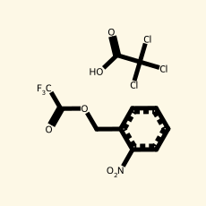 O=C(O)C(Cl)(Cl)Cl.O=C(OCc1ccccc1[N+](=O)[O-])C(F)(F)F